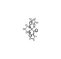 O=C(c1ccco1)C1(Cc2ccco2)SCCCS1